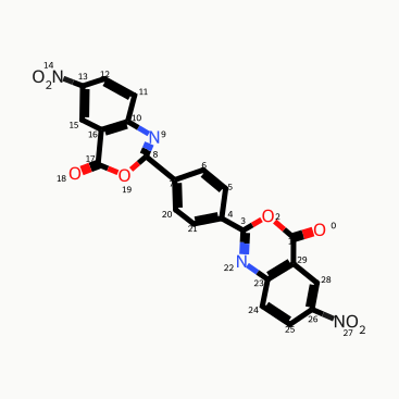 O=c1oc(-c2ccc(-c3nc4ccc([N+](=O)[O-])cc4c(=O)o3)cc2)nc2ccc([N+](=O)[O-])cc12